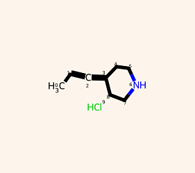 CC=C=C1CCNCC1.Cl